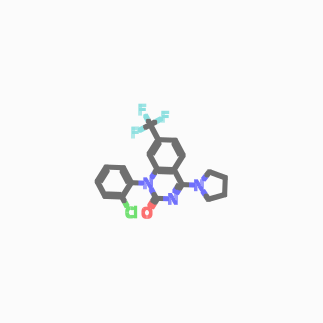 O=c1nc(N2CCCC2)c2ccc(C(F)(F)F)cc2n1-c1ccccc1Cl